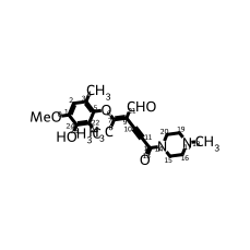 COc1cc(C)c(O/C(C)=C(/C#CC(=O)N2CCN(C)CC2)C=O)c(C)c1O